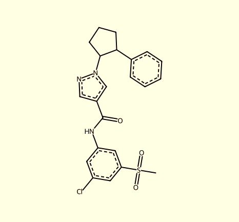 CS(=O)(=O)c1cc(Cl)cc(NC(=O)c2cnn(C3CCCC3c3ccccc3)c2)c1